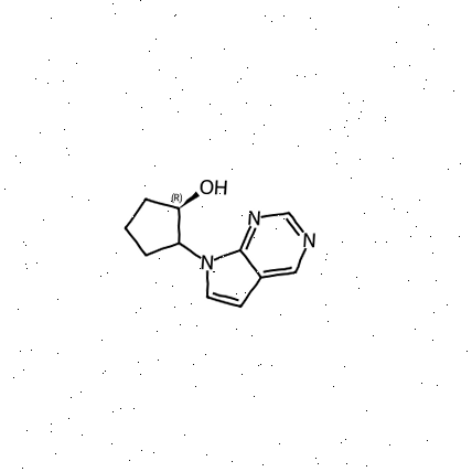 O[C@@H]1CCCC1n1ccc2cncnc21